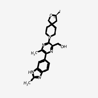 Cc1nc2ccc(-c3nc(CO)c(N4CCC5(CC4)CO[C@@H](I)C5)nc3C)cc2[nH]1